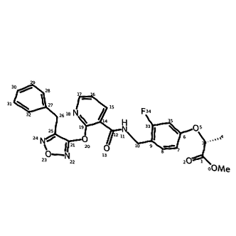 COC(=O)[C@@H](C)Oc1ccc(CNC(=O)c2cccnc2Oc2nonc2Cc2ccccc2)c(F)c1